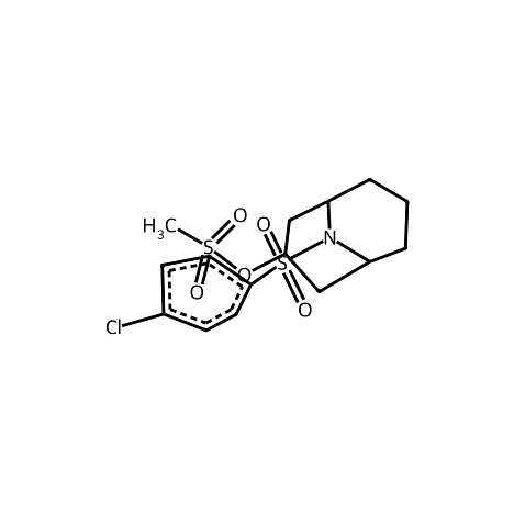 CS(=O)(=O)OC1CC2CCCC(C1)N2S(=O)(=O)c1ccc(Cl)cc1